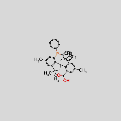 Cc1cc(C(=O)O)c2c(c1)C(C)(C)C[C@@]21CC(C)(C)c2cc(C)cc(P(c3ccccc3)c3ccccc3)c21